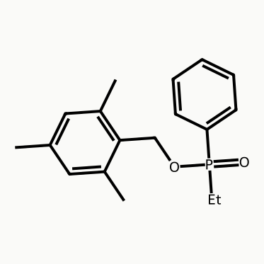 CCP(=O)(OCc1c(C)cc(C)cc1C)c1ccccc1